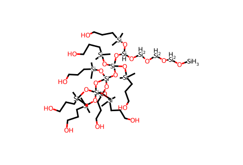 C[Si](C)(CCCO)O[SiH](O[SiH2]O[SiH2]O[SiH2]O[SiH3])O[Si](O[Si](C)(C)CCCO)(O[Si](C)(C)CCCO)O[Si](O[Si](C)(C)CCCO)(O[Si](C)(C)CCCO)O[Si](O[Si](C)(C)CCCO)(O[Si](C)(C)CCCO)O[Si](C)(C)CCCO